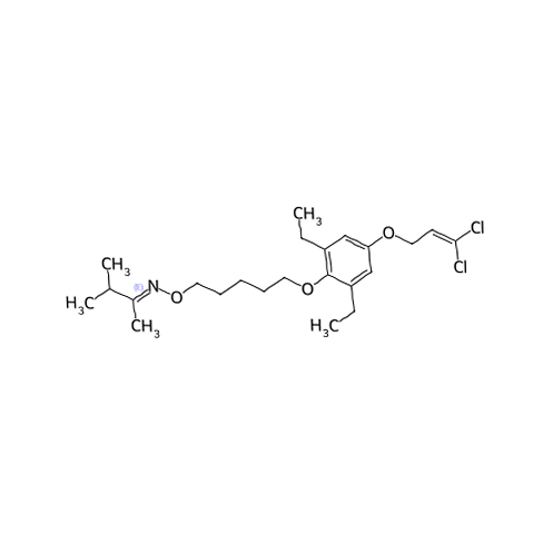 CCc1cc(OCC=C(Cl)Cl)cc(CC)c1OCCCCCO/N=C(\C)C(C)C